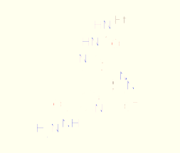 CCNC(=O)Nc1cc(-c2cc(C(F)(F)F)nn2C)c(-c2cncc(C(=O)NN)c2)cn1